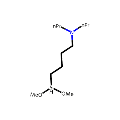 CCCN(CCC)CCCC[SiH](OC)OC